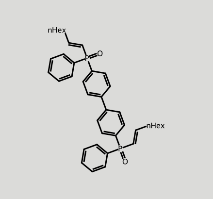 CCCCCCC=CP(=O)(c1ccccc1)c1ccc(-c2ccc(P(=O)(C=CCCCCCC)c3ccccc3)cc2)cc1